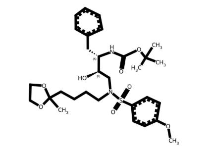 COc1ccc(S(=O)(=O)N(CCCCC2(C)OCCO2)C[C@@H](O)[C@H](Cc2ccccc2)NC(=O)OC(C)(C)C)cc1